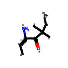 C/C=C(/N)C(=O)C(C)(C)CC(C)C